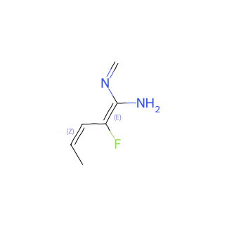 C=N/C(N)=C(F)\C=C/C